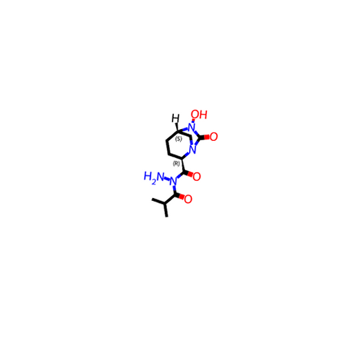 CC(C)C(=O)N(N)C(=O)[C@H]1CC[C@H]2CN1C(=O)N2O